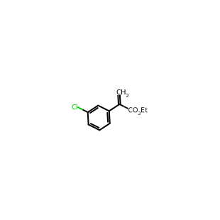 C=C(C(=O)OCC)c1cccc(Cl)c1